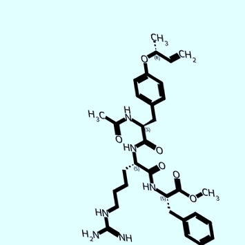 C=C[C@@H](C)Oc1ccc(C[C@H](NC(C)=O)C(=O)N[C@@H](CCCCNC(=N)N)C(=O)N[C@@H](Cc2ccccc2)C(=O)OC)cc1